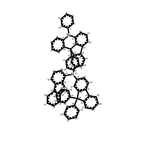 c1ccc(N2c3ccccc3C3(c4ccccc4)c4cc(N(c5ccc6c(c5)C(c5ccccc5)(c5ccccc5)c5ccccc5-6)c5cccc6c5oc5ccccc56)ccc4-c4cccc2c43)cc1